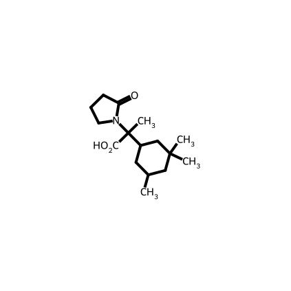 CC1CC(C(C)(C(=O)O)N2CCCC2=O)CC(C)(C)C1